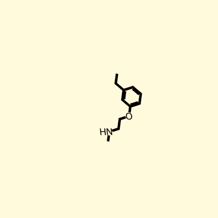 CCc1cccc(OCCNC)c1